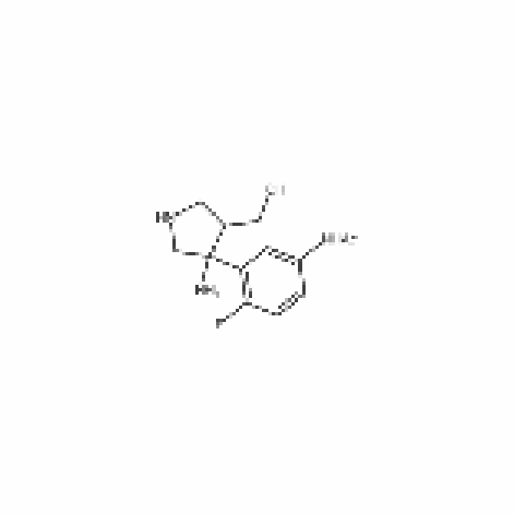 CC(=O)Nc1ccc(F)c(C2(N)CNCC2CO)c1